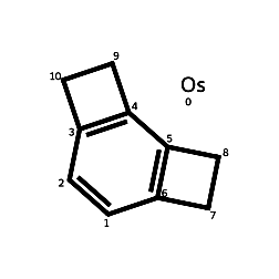 [Os].c1cc2c(c3c1CC3)CC2